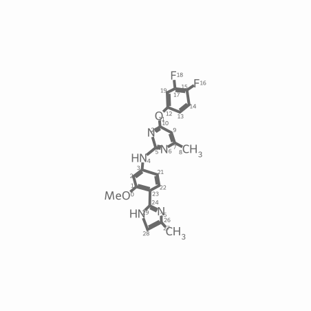 COc1cc(Nc2nc(C)cc(Oc3ccc(F)c(F)c3)n2)ccc1-c1nc(C)c[nH]1